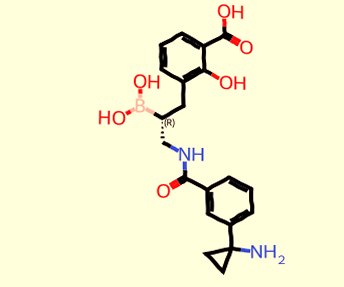 NC1(c2cccc(C(=O)NC[C@@H](Cc3cccc(C(=O)O)c3O)B(O)O)c2)CC1